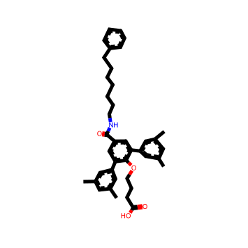 Cc1cc(C)cc(-c2cc(C(=O)NCCCCCCCc3ccccc3)cc(-c3cc(C)cc(C)c3)c2OCCCC(=O)O)c1